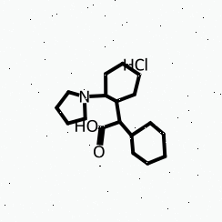 Cl.O=C(O)C(C1CCCCC1)C1CCCCC1N1CCCC1